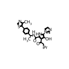 Cc1ncsc1-c1ccc([C@H](C)NC(=O)c2[nH]c(-n3ccnn3)c(O)c2C(=O)CC(C)C)cc1